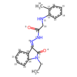 CCN1C(=O)C(=NNC(=O)CNc2ccccc2C)c2ccccc21